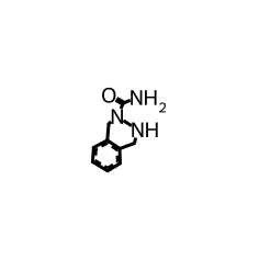 NC(=O)N1Cc2ccccc2CN1